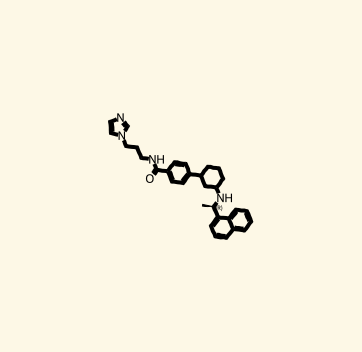 C[C@@H](NC1CCCC(c2ccc(C(=O)NCCCn3ccnc3)cc2)C1)c1cccc2ccccc12